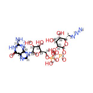 [N-]=[N+]=NC[C@@H]1OC(OP(=O)(O)OP(=O)(O)OC[C@H]2O[C@@H](n3cnc4c(=O)[nH]c(N)nc43)C(O)[C@H]2O)[C@@H](O)[C@H](O)[C@@H]1O